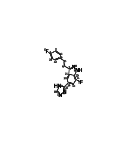 Fc1ccc(/C=C/c2n[nH]c3c(F)cc(-c4nnc[nH]4)cc23)cc1